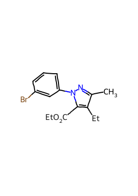 CCOC(=O)c1c(CC)c(C)nn1-c1cccc(Br)c1